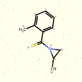 Cc1ccccc1C(=S)N1CC1C#N